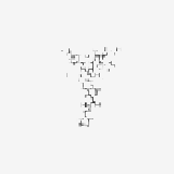 CC1(C)[C@H](NC(=O)/C(=N\O[C@](C)(C(=O)O)[C@H]2CCc3cc(C(=N)NCC[C@H]4CCNC4)ccc3O2)c2csc(N)n2)C(=O)N1OS(=O)(=O)O